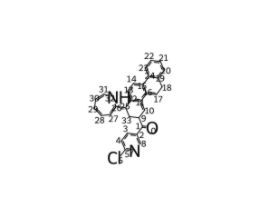 O=C(c1ccc(Cl)nc1)C1C=c2c(ccc3c2=CCc2ccccc2-3)C(C2=CC=CC=CN2)C1